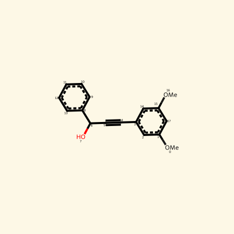 COc1cc(C#CC(O)c2ccccc2)cc(OC)c1